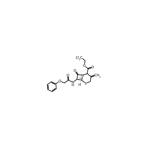 C=C1CS[C@H]2C(NC(=O)COc3ccccc3)C(=O)N2C1C(=O)OCC(Cl)(Cl)Cl